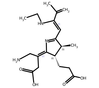 C=C(C)/C(=C/C1=NC(=C(\CN)CC(=O)O)/[C@@H](CCC(=O)O)[C@@H]1C)NCC